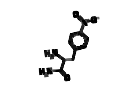 NC(=O)C(N)Cc1ccc([N+](=O)[O-])cc1